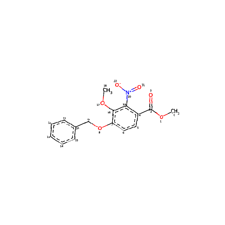 COC(=O)c1ccc(OCc2ccccc2)c(OC)c1[N+](=O)[O-]